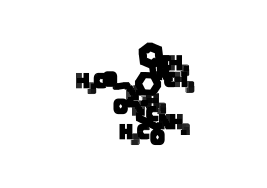 COCCN1C(=O)N(CC(C)(C)C(N)=O)C[C@]12CC[C@](c1ccccc1)(N(C)C)CC2